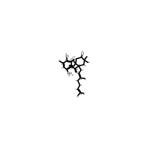 C=CC1(Cl)CC(Cl)C(C)(C)CC1(C/C=C(\C)CCC=C(C)C)C(=C)c1c(N)cc(C)c(CC)c1C